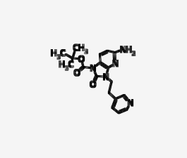 CC(C)(C)OC(=O)n1c(=O)n(CCc2cccnc2)c2nc(N)ccc21